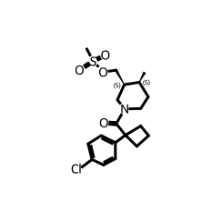 C[C@H]1CCN(C(=O)C2(c3ccc(Cl)cc3)CCC2)C[C@H]1COS(C)(=O)=O